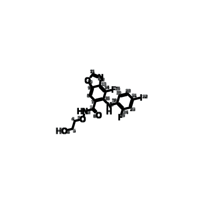 O=C(NOCCO)c1cc2ocnc2c(F)c1Nc1ccc(I)cc1F